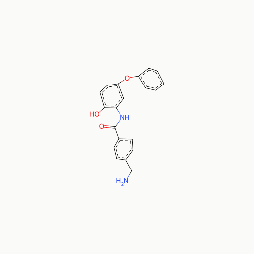 NCc1ccc(C(=O)Nc2cc(Oc3ccccc3)ccc2O)cc1